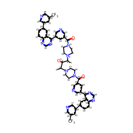 CC(C(=O)C(C)N1CCN(C(=O)c2cncc(-c3ncnc4ccc(-c5cncc(C(F)(F)F)c5)cc34)c2)CC1)N1CCN(C(=O)c2cncc(-c3ncnc4ccc(-c5cncc(C(F)(F)F)c5)cc34)c2)CC1